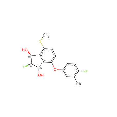 N#Cc1cc(Oc2ccc(SC(F)(F)F)c3c2[C@H](O)[C@@H](F)[C@H]3O)ccc1F